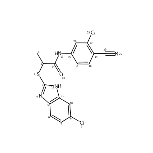 CC(Sc1nc2ccc(Cl)cc2[nH]1)C(=O)Nc1ccc(C#N)c(Cl)c1